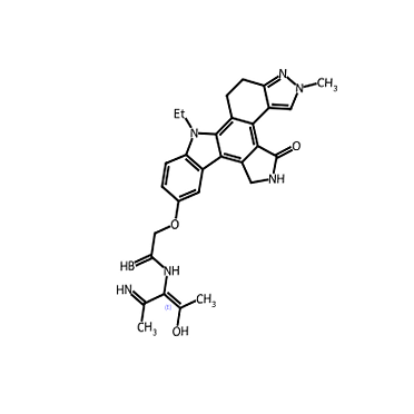 B=C(COc1ccc2c(c1)c1c3c(c4c(c1n2CC)CCc1nn(C)cc1-4)C(=O)NC3)N/C(C(C)=N)=C(\C)O